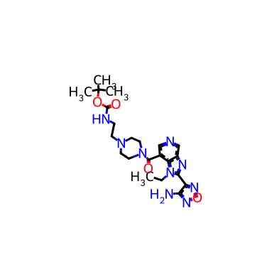 CCn1c(-c2nonc2N)nc2cncc(C(=O)N3CCN(CCNC(=O)OC(C)(C)C)CC3)c21